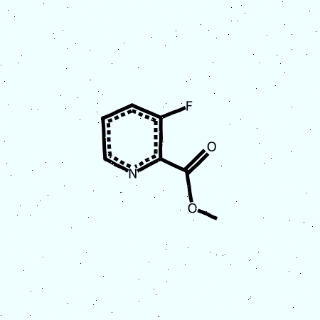 COC(=O)c1ncccc1F